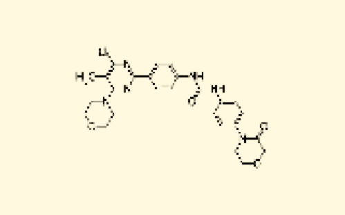 Cc1c(Cl)nc(-c2ccc(NC(=O)Nc3ccc(N4CCOCC4=O)cc3)cc2)nc1N1CCOCC1